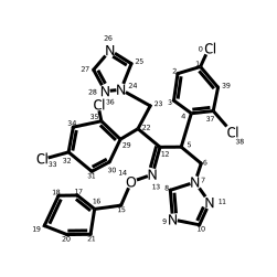 Clc1ccc(C(Cn2cncn2)C(=NOCc2ccccc2)C(Cn2cncn2)c2ccc(Cl)cc2Cl)c(Cl)c1